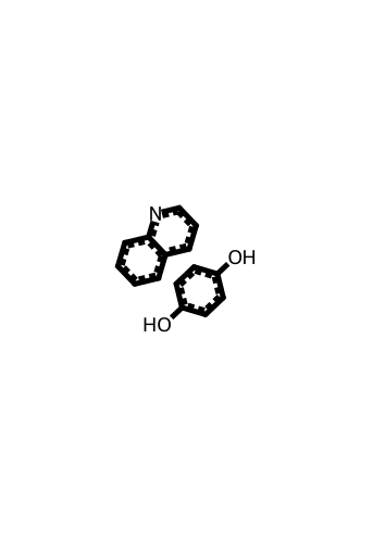 Oc1ccc(O)cc1.c1ccc2ncccc2c1